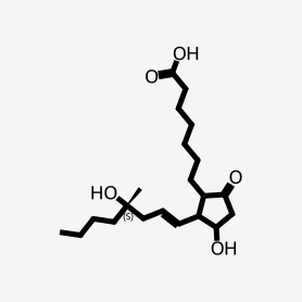 CCCC[C@](C)(O)CC=CC1C(O)CC(=O)C1CCCCCCC(=O)O